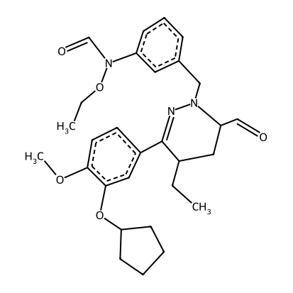 CCON(C=O)c1cccc(CN2N=C(c3ccc(OC)c(OC4CCCC4)c3)C(CC)CC2C=O)c1